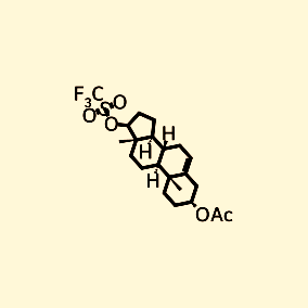 CC(=O)O[C@H]1CC[C@@]2(C)C(=CC[C@@H]3[C@@H]2CC[C@]2(C)C(OS(=O)(=O)C(F)(F)F)CC[C@@H]32)C1